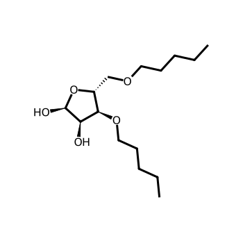 CCCCCOC[C@H]1O[C@H](O)[C@H](O)[C@@H]1OCCCCC